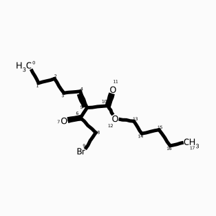 CCCC/C=C(\C(=O)CBr)C(=O)OCCCCC